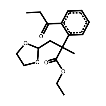 CCOC(=O)C(C)(CC1OCCO1)c1ccccc1C(=O)CC